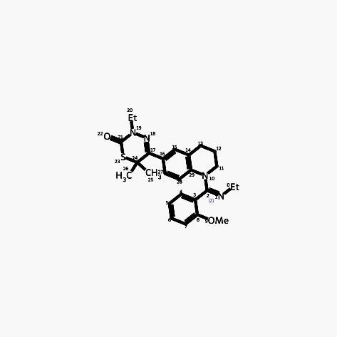 CC/N=C(/c1ccccc1OC)N1CCCc2cc(C3=NN(CC)C(=O)SC3(C)C)ccc21